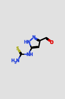 NC(=S)Nc1cc(C=O)n[nH]1